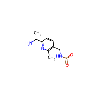 Cc1nc([C@@H](C)N)ccc1CN[SH](=O)=O